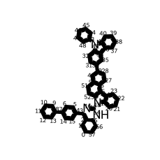 C1=CC2=C(c3ccc(-c4ccccc4)cc3)N=C(n3c4ccccc4c4c5ccc(-c6ccc7c(c6)c6ccccc6n7-c6ccccc6)cc5ccc43)NC2C=C1